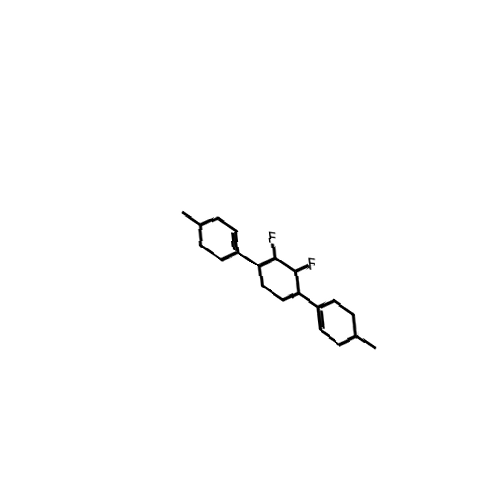 CC1CC=C(C2CCC(C3=CCC(C)CC3)C(F)C2F)CC1